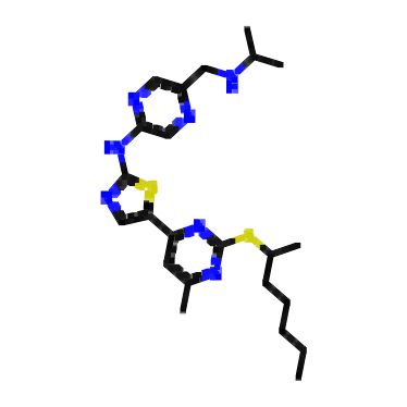 CCCCCC(C)Sc1nc(C)cc(-c2cnc(Nc3cnc(CNC(C)C)cn3)s2)n1